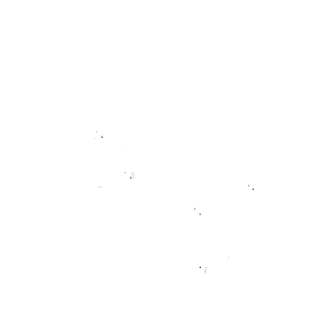 CCC(C)Oc1cc(Oc2cnc(C(=O)N(C)C)cn2)cc(-c2ncc(C)c(=O)[nH]2)c1